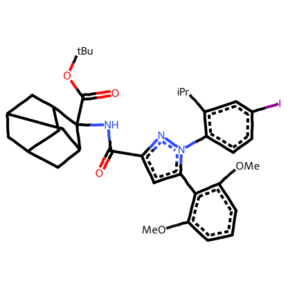 COc1cccc(OC)c1-c1cc(C(=O)NC2(C(=O)OC(C)(C)C)C3CC4CC(C3)CC2C4)nn1-c1ccc(I)cc1C(C)C